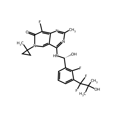 Cc1nc(N[C@H](O)c2cccc(C(F)(F)C(C)(C)O)c2F)c2cn(C3(C)CC3)c(=O)c(F)c2n1